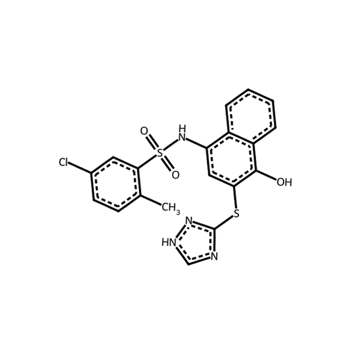 Cc1ccc(Cl)cc1S(=O)(=O)Nc1cc(Sc2nc[nH]n2)c(O)c2ccccc12